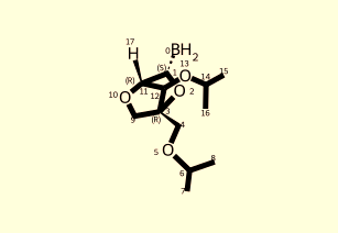 B[C@@H]1O[C@]2(COC(C)C)CO[C@H]1C2OC(C)C